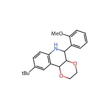 COc1ccccc1C1Nc2ccc(C(C)(C)C)cc2C2OCCOC12